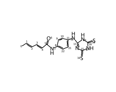 CC=CC=CC(=O)Nc1ccc(Nc2nc(=S)[nH]c(=S)[nH]2)cc1